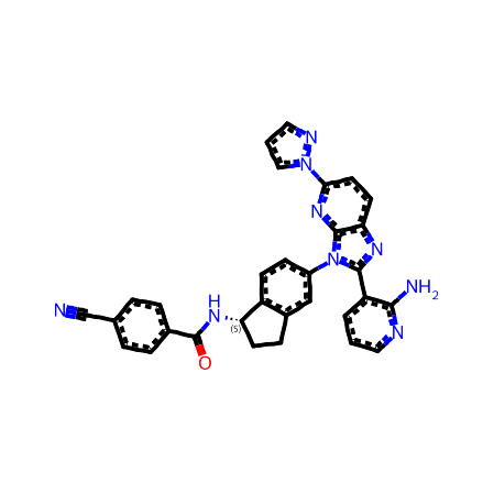 N#Cc1ccc(C(=O)N[C@H]2CCc3cc(-n4c(-c5cccnc5N)nc5ccc(-n6cccn6)nc54)ccc32)cc1